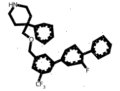 Fc1cc(-c2cc(COCC3(c4ccccc4)CCNCC3)cc(C(F)(F)F)c2)ccc1-c1ccccc1